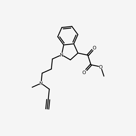 C#CCN(C)CCCN1CC(C(=O)C(=O)OC)c2ccccc21